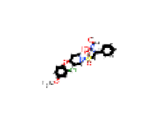 COc1ccc(OC2CCN(S(=O)(=O)CC(c3ccccc3)N(O)C=O)CC2)c(Cl)c1